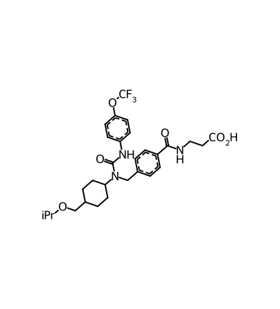 CC(C)OCC1CCC(N(Cc2ccc(C(=O)NCCC(=O)O)cc2)C(=O)Nc2ccc(OC(F)(F)F)cc2)CC1